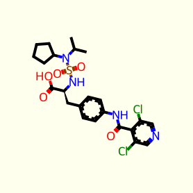 CC(C)N(C1CCCC1)S(=O)(=O)N[C@@H](Cc1ccc(NC(=O)c2c(Cl)cncc2Cl)cc1)C(=O)O